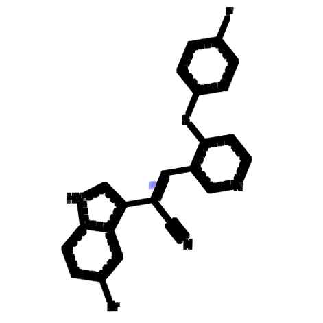 N#C/C(=C\c1cnccc1Sc1ccc(F)cc1)c1c[nH]c2ccc(Br)cc12